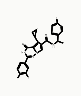 Cc1ccc(-c2nn3cc(C(=O)NC(C)c4ccc(F)cc4)c(C4CC4)c3c(=O)[nH]2)cc1F